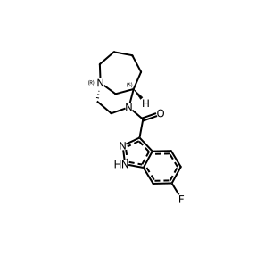 O=C(c1n[nH]c2cc(F)ccc12)N1CC[N@]2CCCC[C@H]1C2